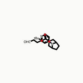 CC(C)(C)OC(=O)N1CC2CCC(C1)N2c1ccnc(CCC=O)c1